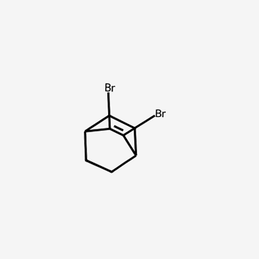 BrC1=C(Br)C2CCC1CC2